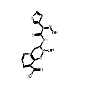 O=C(NC1Cc2cccc(C(=O)O)c2OB1O)C(=NO)c1cscn1